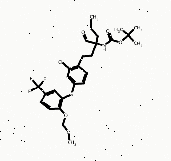 CCCC(C=O)(CCc1ccc(Sc2cc(C(F)(F)F)ccc2OCOC)cc1Cl)NC(=O)OC(C)(C)C